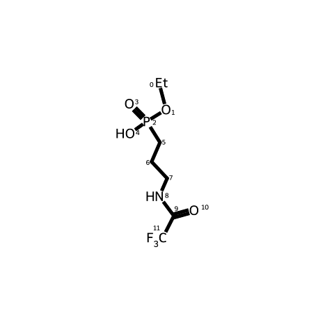 CCOP(=O)(O)CCCNC(=O)C(F)(F)F